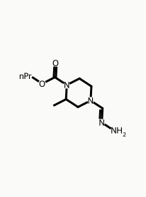 CCCOC(=O)N1CCN(C=NN)CC1C